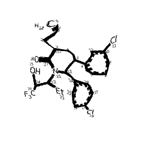 C=CC[C@H]1CC(c2cccc(Cl)c2)C(c2ccc(Cl)cc2)N(C(CC)C(O)C(F)(F)F)C1=O